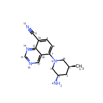 C[C@H]1C[C@@H](N)CN(c2ccc(C#N)c3ncncc23)C1